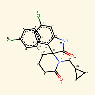 O=C1CC[C@H](c2cccc(Cl)c2)C2(C(=O)Nc3cc(Cl)ccc32)N1CC1CC1